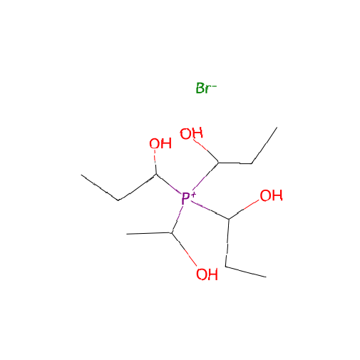 CCC(O)[P+](C(C)O)(C(O)CC)C(O)CC.[Br-]